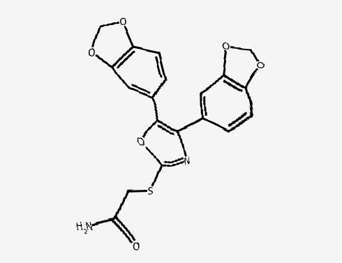 NC(=O)CSc1nc(-c2ccc3c(c2)OCO3)c(-c2ccc3c(c2)OCO3)o1